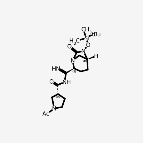 CC(=O)N1CC[C@@H](C(=O)NC(=N)[C@@H]2CC[C@@H]3CN2C(=O)N3O[Si](C)(C)C(C)(C)C)C1